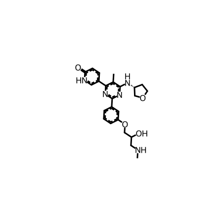 CNCC(O)COc1cccc(-c2nc(N[C@@H]3CCOC3)c(C)c(-c3ccc(=O)[nH]c3)n2)c1